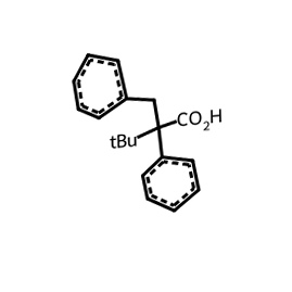 CC(C)(C)C(Cc1ccccc1)(C(=O)O)c1ccccc1